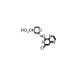 O=C(O)N1CCO[C@H](COc2nc(Cl)cc3nccnc23)C1